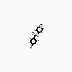 CN1CCC(OC(=O)c2ccc(I)cc2)CC1